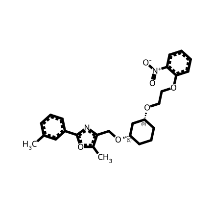 Cc1cccc(-c2nc(CO[C@H]3CCC[C@@H](OCCOc4ccccc4[N+](=O)[O-])C3)c(C)o2)c1